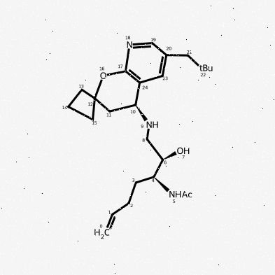 C=CCC[C@H](NC(C)=O)[C@H](O)CN[C@H]1CC2(CCC2)Oc2ncc(CC(C)(C)C)cc21